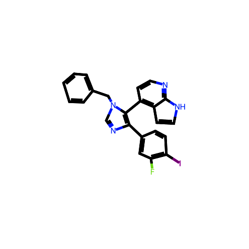 Fc1cc(-c2ncn(Cc3ccccc3)c2-c2ccnc3[nH]ccc23)ccc1I